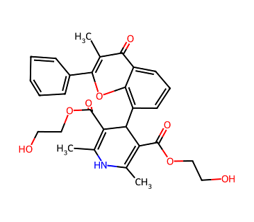 CC1=C(C(=O)OCCO)C(c2cccc3c(=O)c(C)c(-c4ccccc4)oc23)C(C(=O)OCCO)=C(C)N1